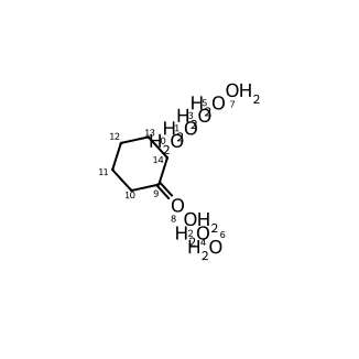 O.O.O.O.O.O.O.O.O=C1CCCCC1